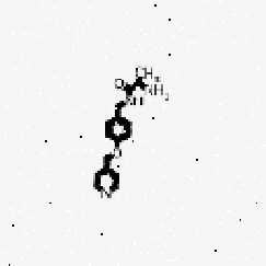 CC(N)C(=O)NCc1ccc(OCc2ccncc2)cc1